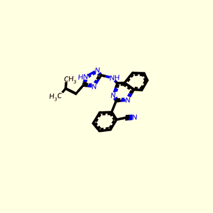 CC(C)Cc1nc(Nc2nc(-c3ccccc3C#N)nc3ccccc23)n[nH]1